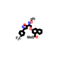 CCCO/N=C(\COc1cc(C(=O)OC)c2ccccc2c1)c1cc(-c2ccc(C(F)(F)F)cc2)no1